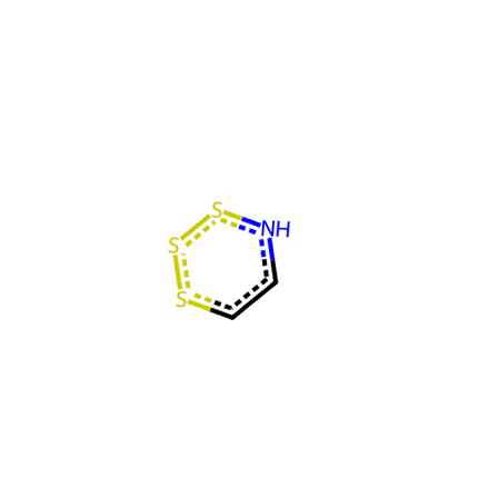 c1csss[nH]1